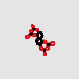 O=C1OC(=O)OC2C(=CC=C3C2CCC2OC(=O)OC(=O)OC32)O1